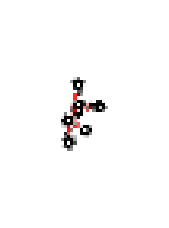 C1=CC(c2cccc(OCc3ccccc3)c2OCc2ccccc2)Oc2cc(OCc3ccccc3)cc(OCc3ccccc3)c21